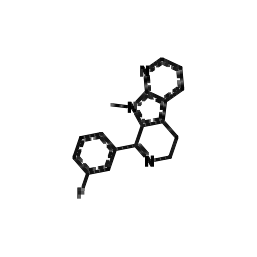 Cn1c2c(c3cccnc31)CCN=C2c1cccc(F)c1